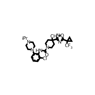 CC(C)N1CCN(c2cccc(Cl)c2NC(=O)N2CCC(C)(c3noc(C4(C(F)(F)F)CC4)n3)CC2)CC1